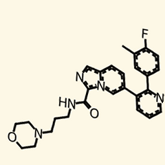 Cc1cc(-c2ncccc2-c2ccc3cnc(C(=O)NCCCN4CCOCC4)n3c2)ccc1F